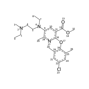 CCN(C)CCN(CC)c1cc(C(=O)OC)c(Oc2c(C)cc(Cl)cc2C)nc1C